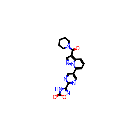 O=C(c1cnn2c(-c3cnc(-c4noc(=O)[nH]4)nc3)cccc12)N1CCCCC1